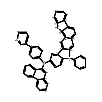 c1ccc(-n2c3ccc(N(c4ccc(-c5cccnc5)cc4)c4cc5ccccc5c5ccccc45)cc3c3cc4c(ccc5c6ccccc6oc45)cc32)cc1